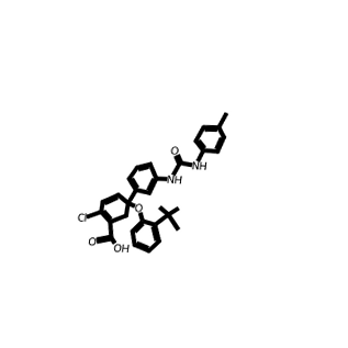 Cc1ccc(NC(=O)Nc2cccc(C3(Oc4ccccc4C(C)(C)C)C=CC(Cl)=C(C(=O)O)C3)c2)cc1